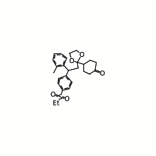 CCS(=O)(=O)c1ccc(C(CC2(C3CCC(=O)CC3)OCCO2)c2ccccc2C)cc1